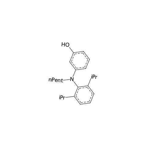 CCCCCN(c1cccc(O)c1)c1c(C(C)C)cccc1C(C)C